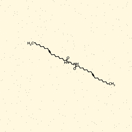 CCCCCCCCC#CCCCCCCCC(=O)NCCNC(=O)CCCCCCCC#CCCCCCCCC